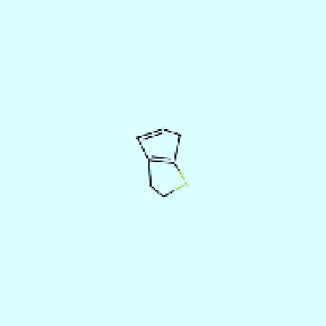 C1=CC2=C(C1)SCC2